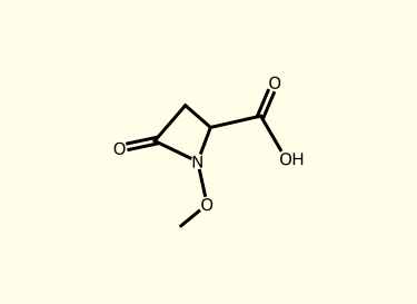 CON1C(=O)CC1C(=O)O